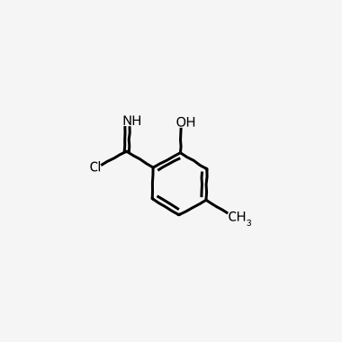 Cc1ccc(C(=N)Cl)c(O)c1